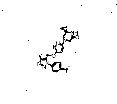 Cc1nnn(-c2ccc(C(F)F)cc2)c1COc1ccc(N2CC(=O)NC3(CC3)C2)nn1